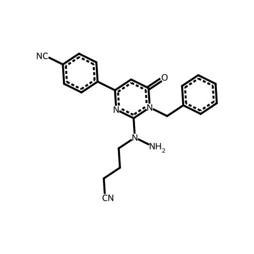 N#CCCCN(N)c1nc(-c2ccc(C#N)cc2)cc(=O)n1Cc1ccccc1